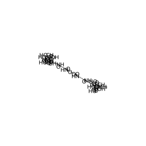 CC1C(OC2C(C(=O)O)OC(OCCCCCCNC(=O)CCCCCCCNC(=O)CCOCCCOCCC(=O)NCCCCCCCC(=O)NCCCCCCOC3OC(C(=O)O)C(OC4OC(COS(=O)(=O)O)C(O)C(O)C4C)C(O)C3OS(=O)(=O)O)C(O)C2O)OC(COS(=O)(=O)O)C(O)C1O